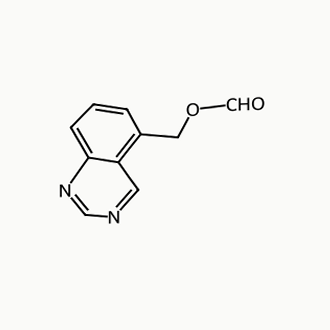 O=COCc1cccc2ncncc12